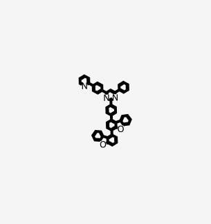 c1ccc(-c2cc(-c3ccc(-c4ccccn4)cc3)nc(-c3ccc(-c4ccc(-c5cccc6oc7ccccc7c56)c5oc6ccccc6c45)cc3)n2)cc1